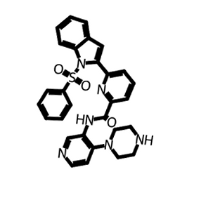 O=C(Nc1cnccc1N1CCNCC1)c1cccc(-c2cc3ccccc3n2S(=O)(=O)c2ccccc2)n1